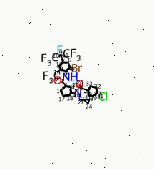 O=C(Nc1c(Br)cc(C(F)(C(F)(F)F)C(F)(F)F)cc1C(F)(F)F)c1cccc(N(CC2CC2)C(=O)c2ccc(Cl)cc2)c1F